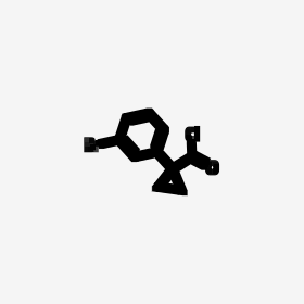 O=C(Cl)C1(c2cccc(Br)c2)CC1